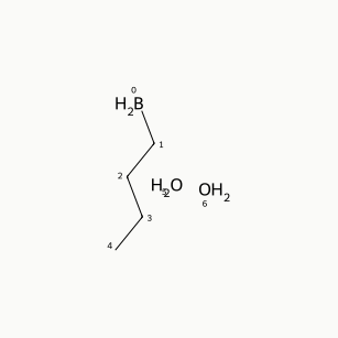 BCCCC.O.O